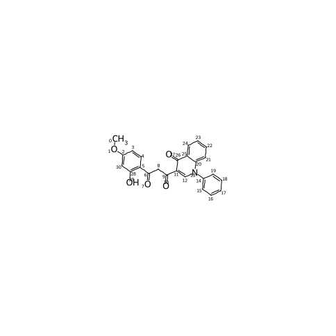 COc1ccc(C(=O)CC(=O)c2cn(-c3ccccc3)c3ccccc3c2=O)c(O)c1